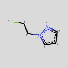 FCCn1cc[c]n1